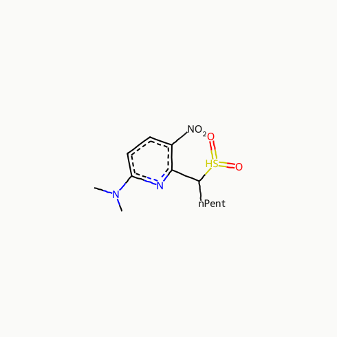 CCCCCC(c1nc(N(C)C)ccc1[N+](=O)[O-])[SH](=O)=O